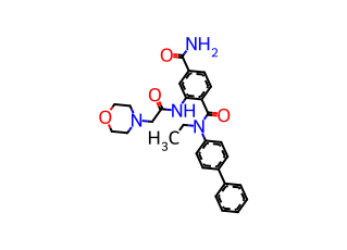 CCN(C(=O)c1ccc(C(N)=O)cc1NC(=O)CN1CCOCC1)c1ccc(-c2ccccc2)cc1